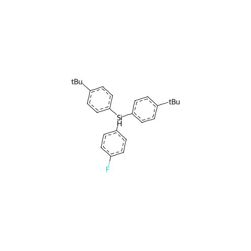 CC(C)(C)c1ccc([SiH](c2ccc(F)cc2)c2ccc(C(C)(C)C)cc2)cc1